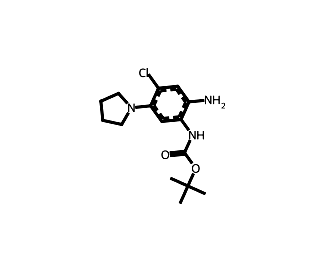 CC(C)(C)OC(=O)Nc1cc(N2CCCC2)c(Cl)cc1N